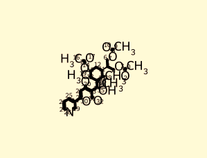 CC(=O)OCC(COC(C)=O)[C@@H]1C[C@H](OC(C)=O)[C@@]2(C)Oc3cc(-c4cccnc4)oc(=O)c3[C@H](O)[C@@H]2C1(C)C